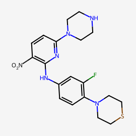 O=[N+]([O-])c1ccc(N2CCNCC2)nc1Nc1ccc(N2CCSCC2)c(F)c1